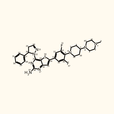 CN1CCN(C2CCN(c3c(F)cc(-c4cc5nc(N)nc(N6N=CCC6c6ccccc6)c5s4)cc3F)CC2)CC1